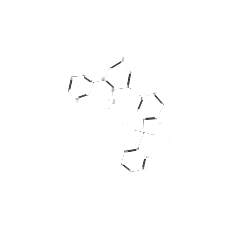 CC(C)(c1ccccc1)c1cccc(-c2cccc(-c3ccccc3)c2N)c1